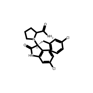 NC(=O)C1CCCN1[C@]1(Cc2cccc(Cl)c2)C(=O)Nc2cc(Cl)ccc21